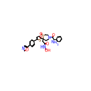 N[C@H](C(=O)N1CCC(CC(=O)NO)(c2ccc(-c3ccc(-c4cnco4)cc3)s2)S(=O)(=O)CC1)c1ccccc1